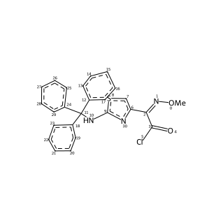 CO/N=C(\C(=O)Cl)c1csc(NC(c2ccccc2)(c2ccccc2)c2ccccc2)n1